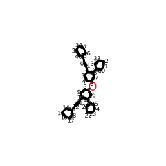 C(#Cc1ccc(Oc2ccc(C#Cc3ccccc3)c(-c3ccccc3)c2)cc1-c1ccccc1)c1ccccc1